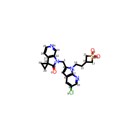 O=C1N(Cc2cc3cc(Cl)cnc3n2CCC2CS(=O)(=O)C2)c2cnccc2C12CC2